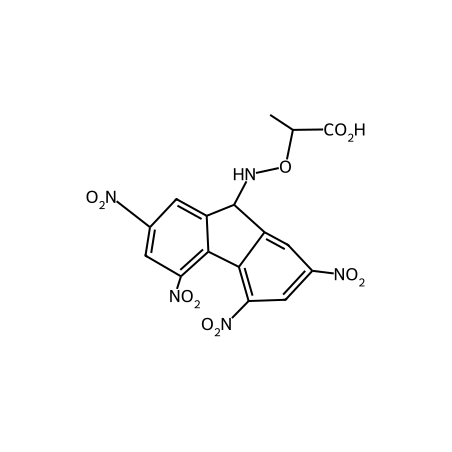 CC(ONC1c2cc([N+](=O)[O-])cc([N+](=O)[O-])c2-c2c1cc([N+](=O)[O-])cc2[N+](=O)[O-])C(=O)O